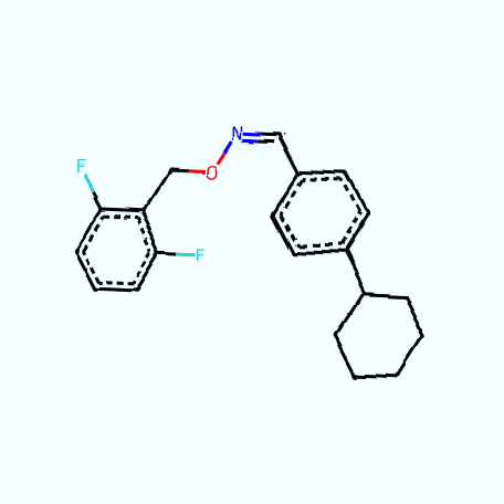 Fc1cccc(F)c1CO/N=[C]\c1ccc(C2CCCCC2)cc1